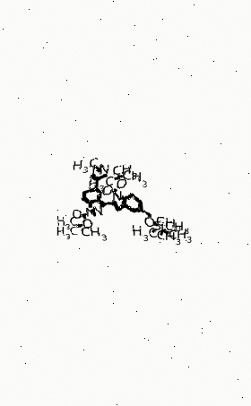 Cn1cc(-c2ccc3c(c2)c(-c2cc4cc(CO[Si](C)(C)C(C)(C)C)ccc4n2C(=O)OC(C)(C)C)nn3C(=O)OC(C)(C)C)cn1